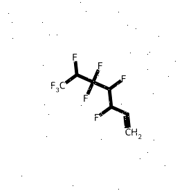 C=CC(F)C(F)C(F)(F)C(F)C(F)(F)F